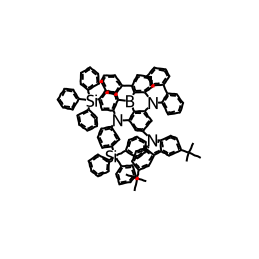 CC(C)(C)c1ccc2c(c1)c1cc(C(C)(C)C)ccc1n2-c1cc2c3c(c1)N(c1ccccc1-c1ccccc1)c1cccc(-c4ccccc4)c1B3c1ccc([Si](c3ccccc3)(c3ccccc3)c3ccccc3)cc1N2c1cccc([Si](c2ccccc2)(c2ccccc2)c2ccccc2)c1